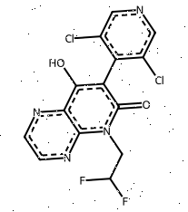 O=c1c(-c2c(Cl)cncc2Cl)c(O)c2nccnc2n1CC(F)F